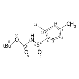 Cc1ccc([S@+]([O-])NC(=O)OC(C)(C)C)c(I)c1